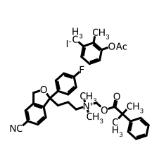 CC(=O)Oc1cccc(C)c1C.CC(C)(C(=O)OC[N+](C)(C)CCCC1(c2ccc(F)cc2)OCc2cc(C#N)ccc21)c1ccccc1.[I-]